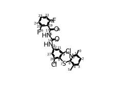 Cc1ccc(C)c(Sc2c(Cl)cc(NC(=O)NC(=O)c3c(F)cccc3F)cc2Cl)n1